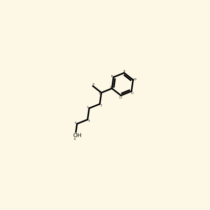 CC(CCCCO)c1ccccc1